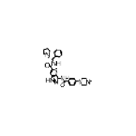 CN1CCN(c2ccc(C(=O)Nc3n[nH]c4cc(C(=O)N[C@H](CN5CCCC5)c5ccccc5)sc34)cc2)CC1